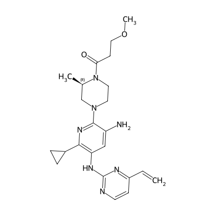 C=Cc1ccnc(Nc2cc(N)c(N3CCN(C(=O)CCOC)[C@H](C)C3)nc2C2CC2)n1